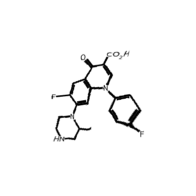 CC1CNCCN1c1cc2c(cc1F)c(=O)c(C(=O)O)cn2-c1ccc(F)cc1